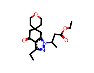 CCOC(=O)CC(C)n1nc(CC)c2c1CC1(CCOCC1)CC2=O